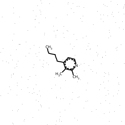 CCCCc1ccnc(C)c1C